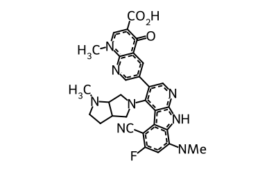 CNc1cc(F)c(C#N)c2c1[nH]c1ncc(-c3cnc4c(c3)c(=O)c(C(=O)O)cn4C)c(N3CC4CCN(C)C4C3)c12